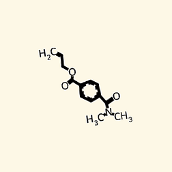 C=CCOC(=O)c1ccc(C(=O)N(C)C)cc1